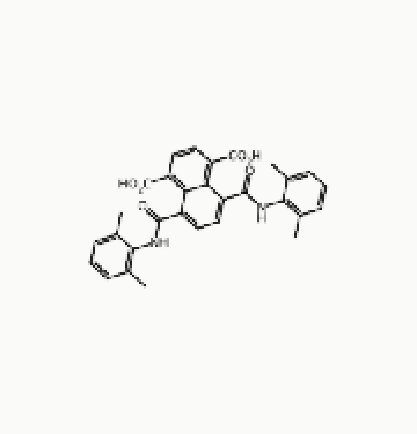 Cc1cccc(C)c1NC(=O)c1ccc(C(=O)Nc2c(C)cccc2C)c2c(C(=O)O)ccc(C(=O)O)c12